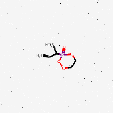 C=CC(P1(=O)OCCOO1)S(=O)(=O)O